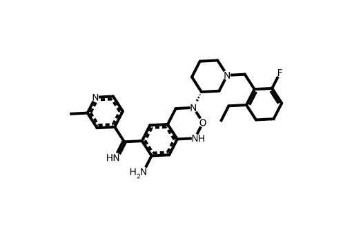 CCC1=C(CN2CCC[C@@H](N3Cc4cc(C(=N)c5ccnc(C)c5)c(N)cc4NO3)C2)C(F)=CCC1